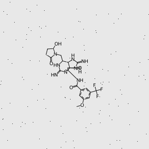 COc1cc(C(=O)NC2CN3C(=N)NC(CN4C(=O)CCC4O)C4NC(=N)NC43C2O)cc(C(F)(F)F)c1